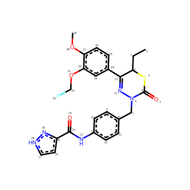 CCC1SC(=O)N(Cc2ccc(NC(=O)c3cc[nH]n3)cc2)N=C1c1ccc(OC)c(OCF)c1